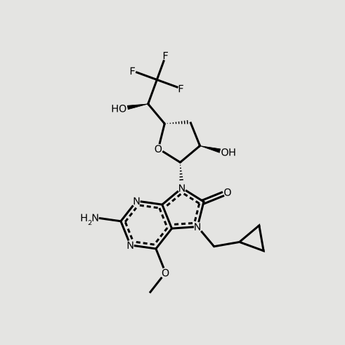 COc1nc(N)nc2c1n(CC1CC1)c(=O)n2[C@@H]1O[C@H]([C@@H](O)C(F)(F)F)C[C@H]1O